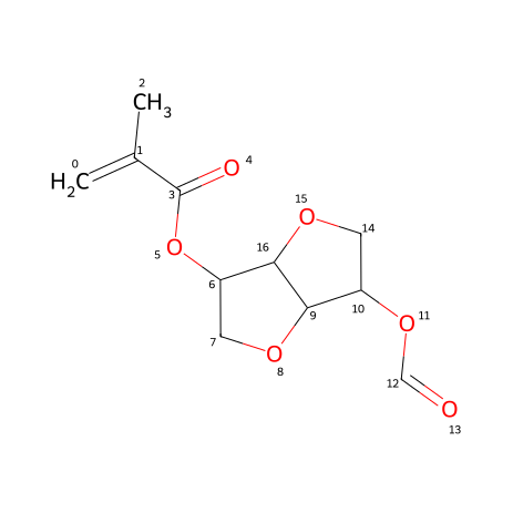 C=C(C)C(=O)OC1COC2C(OC=O)COC12